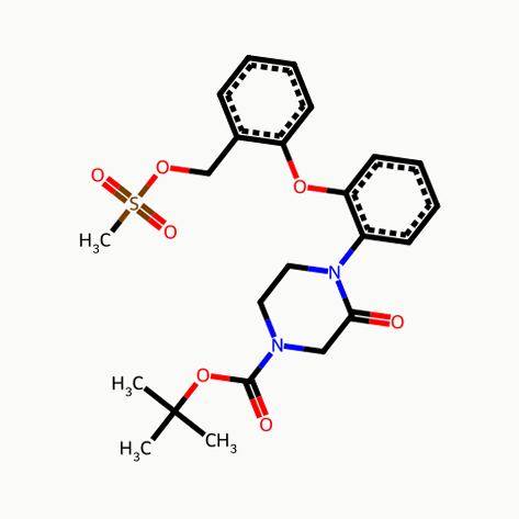 CC(C)(C)OC(=O)N1CCN(c2ccccc2Oc2ccccc2COS(C)(=O)=O)C(=O)C1